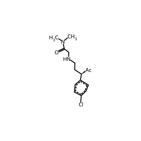 CC(=O)[C@H](CCNCC(=O)N(C)C)c1ccc(Cl)cc1